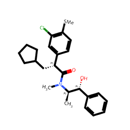 CSc1ccc([C@@H](CC2CCCC2)C(=O)N(C)[C@H](C)[C@H](O)c2ccccc2)cc1Cl